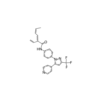 C=C/C(=C\C=C/C)C(=O)Nc1ccc(-n2nc(C(F)(F)F)cc2-c2ccncc2)cc1